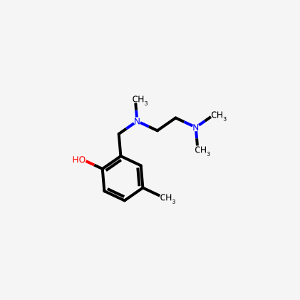 Cc1ccc(O)c(CN(C)CCN(C)C)c1